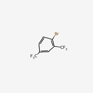 FC(F)(F)c1c[c]c(Br)c(C(F)(F)F)c1